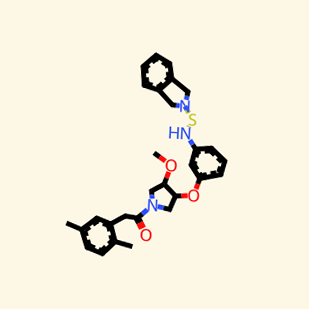 COC1CN(C(=O)Cc2cc(C)ccc2C)CC1Oc1cccc(NSN2Cc3ccccc3C2)c1